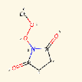 CCOON1C(=O)CCC1=O